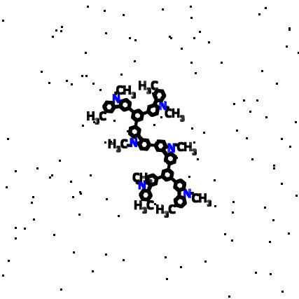 CCn1c2ccc(C)cc2c2cc(-c3cc(-c4ccc5c(c4)c4cc(C)ccc4n5CC)cc(-c4ccc5c(c4)c4cc(-c6ccc7c(c6)c6cc(-c8cc(-c9ccc%10c(c9)c9cc(C)ccc9n%10CC)cc(-c9ccc%10c(c9)c9cc(C)ccc9n%10CC)c8)ccc6n7CC)ccc4n5CC)c3)ccc21